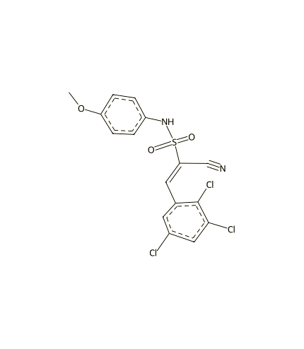 COc1ccc(NS(=O)(=O)C(C#N)=Cc2cc(Cl)cc(Cl)c2Cl)cc1